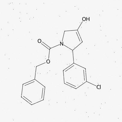 O=C(OCc1ccccc1)N1CC(O)=CC1c1cccc(Cl)c1